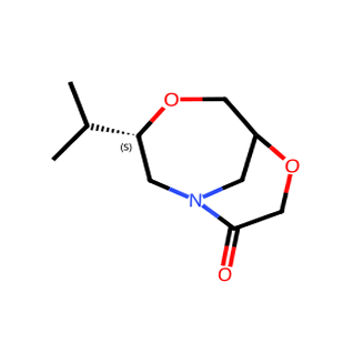 CC(C)[C@H]1CN2CC(CO1)OCC2=O